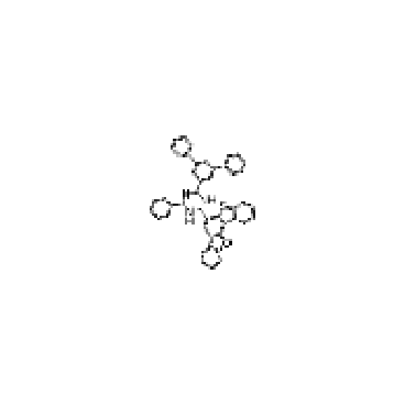 c1ccc(-c2cc(C3=NC(c4ccccc4)NC(c4cc5c6ccccc6oc5c5c4sc4ccccc45)N3)cc(-c3ccccc3)c2)cc1